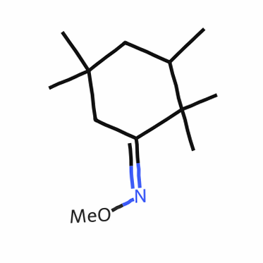 CO/N=C1\CC(C)(C)CC(C)C1(C)C